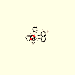 CCc1ccc(C(OC(c2ccc(CC)nc2)[Si](c2ccccc2)(c2ccccc2)C(C)(C)C)[Si](c2ccccc2)(c2ccccc2)C(C)(C)C)cn1